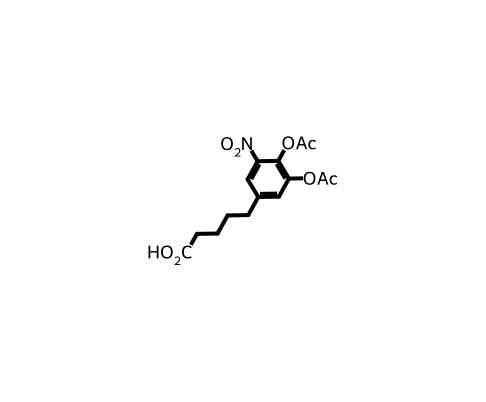 CC(=O)Oc1cc(CCCCC(=O)O)cc([N+](=O)[O-])c1OC(C)=O